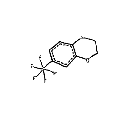 FS(F)(F)(F)(F)c1ccc2c(c1)OCCS2